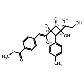 COC(=O)c1ccc(C=C(O)[C@@]2(O)C(c3ccc(C)cc3)[C@@](O)([C@H](O)CO)[C@@H]2O)cc1